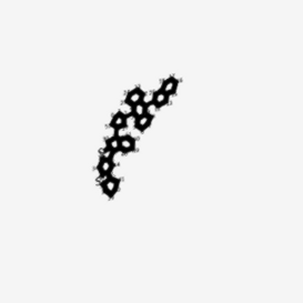 c1cc(-c2c3ccccc3c(-c3ccc4ccccc4c3)c3ccccc23)cc(-c2cc3sc4cc5sc6ccccc6c5cc4c3c3ccccc23)c1